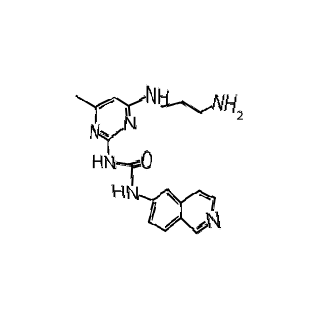 Cc1cc(NCCCN)nc(NC(=O)Nc2ccc3cnccc3c2)n1